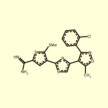 CSc1sc(C(=N)N)cc1-c1nc(-c2c(-c3ccccc3Cl)noc2C)cs1